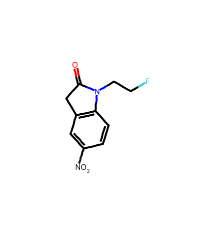 O=C1Cc2cc([N+](=O)[O-])ccc2N1CCF